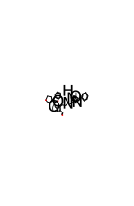 C=CC1C[C@H](OC(=O)C2(c3ccccc3)CCCCC2)C1CCNCc1noc(-c2ccccc2)n1